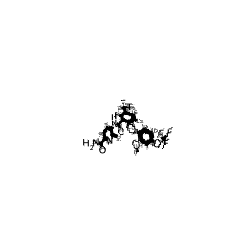 COc1cc(OC(F)(F)F)ccc1Oc1ccc(C(F)(F)F)c(F)c1C(=O)Nc1ccc(C(N)=O)nc1C